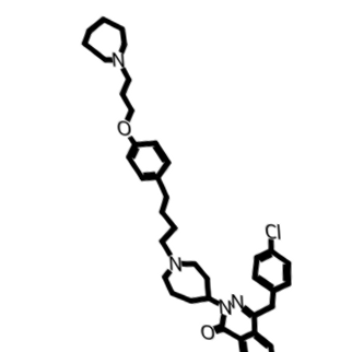 O=c1c2ccccc2c(Cc2ccc(Cl)cc2)nn1C1CCCN(CCCCc2ccc(OCCCN3CCCCCC3)cc2)CC1